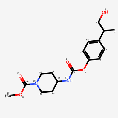 CC(CO)c1ccc(OC(=O)NC2CCN(C(=O)OC(C)(C)C)CC2)cc1